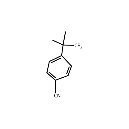 CC(C)(c1ccc(C#N)cc1)C(F)(F)F